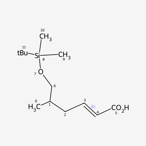 CC(C/C=C/C(=O)O)CO[Si](C)(C)C(C)(C)C